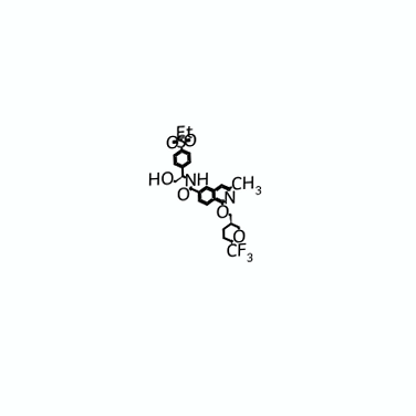 CCS(=O)(=O)c1ccc([C@H](CO)NC(=O)c2ccc3c(OC[C@@H]4CC[C@@H](C(F)(F)F)OC4)nc(C)cc3c2)cc1